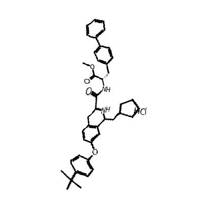 COC(=O)[C@H](Cc1ccc(-c2ccccc2)cc1)NC(=O)C1Cc2ccc(Oc3ccc(C(C)(C)C)cc3)cc2C(CC2CCCC2)N1.Cl